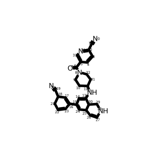 N#Cc1ccc(C(=O)N2CCC(NC3=CC(C4=CC(C#N)CC=C4)=CC4C=CNCC34)CC2)cn1